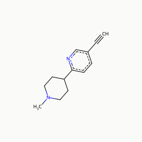 C#Cc1ccc(C2CCN(C)CC2)nc1